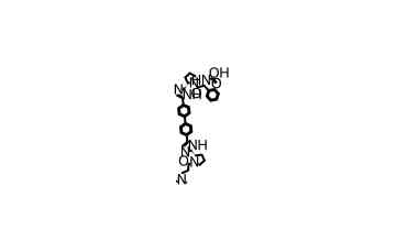 CN(C)CCC(=O)N1CCC[C@H]1c1ncc(-c2ccc(-c3ccc(-c4cnc([C@@H]5CCCN5C(=O)[C@H](NC(=O)O)c5ccccc5)[nH]4)cc3)cc2)[nH]1